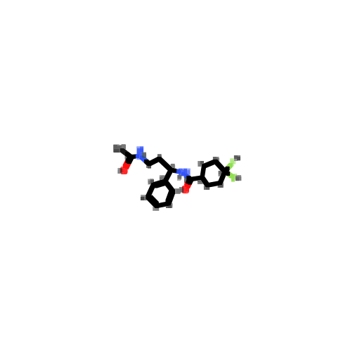 CCC(=O)NCCC(NC(=O)C1CCC(F)(F)CC1)c1ccccc1